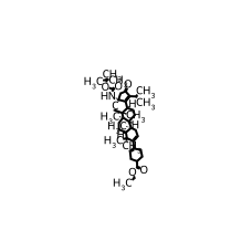 CCOC(=O)C1CC=C(C2=CC[C@]3(C)[C@H]4CC[C@@H]5C6=C(C(C)C)C(=O)C[C@]6(NC(=O)OC(C)(C)C)CC[C@@]5(C)[C@]4(C)CC[C@H]3C2(C)C)CC1